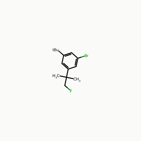 CC(C)(C)c1cc(Br)cc(C(C)(C)CF)c1